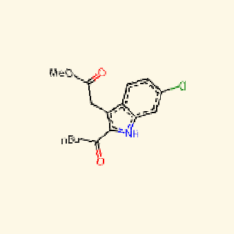 CCCCC(=O)c1[nH]c2cc(Cl)ccc2c1CC(=O)OC